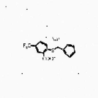 O=C([O-])c1cc(C(F)(F)F)ccc1SCc1ccccc1.[Na+]